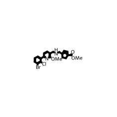 COC(=O)C12CCC(CNCc3ccc(-c4cccc(Br)c4Cl)nc3OC)(CC1)C2